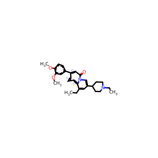 CCC1=CC(C2CCN(CC)CC2)=CN2C(=O)\C=C(c3ccc(OC)c(OC)c3)/C=C/C=C\12